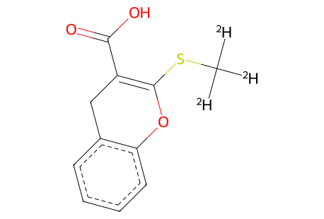 [2H]C([2H])([2H])SC1=C(C(=O)O)Cc2ccccc2O1